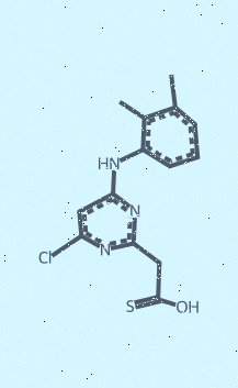 Cc1cccc(Nc2cc(Cl)nc(CC(O)=S)n2)c1C